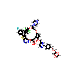 Cc1c(Cl)c2c(Cl)c(C)c1-c1c(-c3ccc(F)cc3)sc3ncnc(c13)O[C@@H](C(=O)O)Cc1cc(ccc1OCc1ccnc([C@H]3CC[C@@H](COC[C@H]4COCCO4)CC3)n1)OC[C@@H](CN1CCN(C)CC1)O2